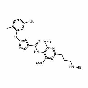 CCNCCCc1nc(OC)c(NC(=O)c2csc(Oc3cc(C(C)(C)C)ccc3C)n2)c(OC)n1